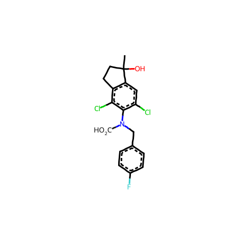 CC1(O)CCc2c1cc(Cl)c(N(Cc1ccc(F)cc1)C(=O)O)c2Cl